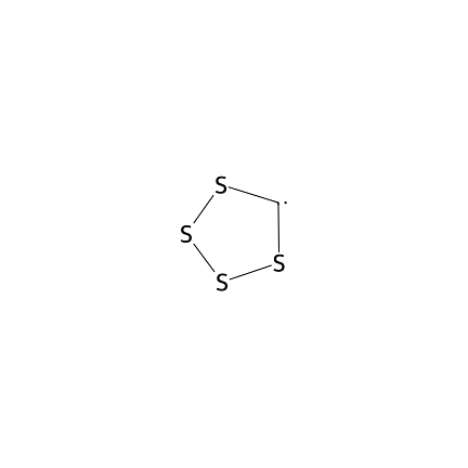 [CH]1SSSS1